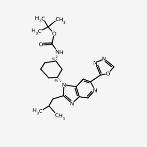 CC(C)Cc1nc2cnc(-c3nnco3)cc2n1[C@@H]1CCC[C@H](NC(=O)OC(C)(C)C)C1